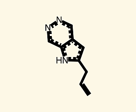 C=CCc1cc2cnncc2[nH]1